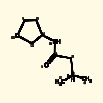 C[SH](C)CC(=O)NC1CCOC1